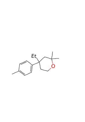 CCC1(c2ccc(C)cc2)CCOC(C)(C)C1